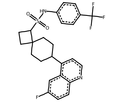 O=S(=O)(Nc1ccc(C(F)(F)F)cc1)C1CCC12CCC(c1ccnc3ccc(F)cc13)CC2